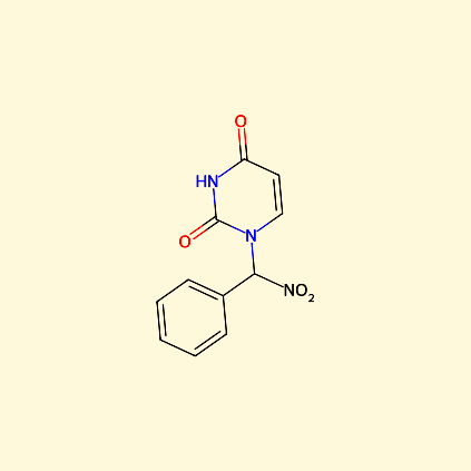 O=c1ccn(C(c2ccccc2)[N+](=O)[O-])c(=O)[nH]1